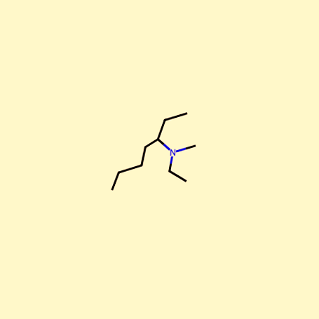 CCCCC(CC)N(C)CC